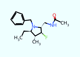 CC[C@@H]1[C@@H](C)[C@H](F)[C@@H](CNC(C)=O)N1Cc1ccccc1